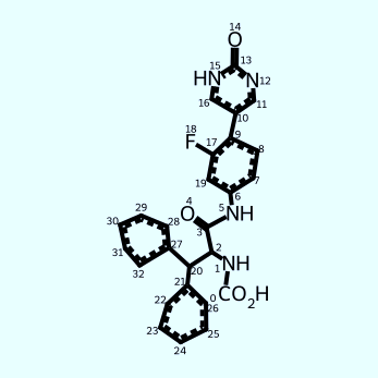 O=C(O)NC(C(=O)Nc1ccc(-c2cnc(=O)[nH]c2)c(F)c1)C(c1ccccc1)c1ccccc1